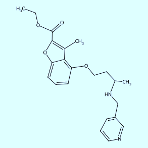 CCOC(=O)c1oc2cccc(OCCC(C)NCc3cccnc3)c2c1C